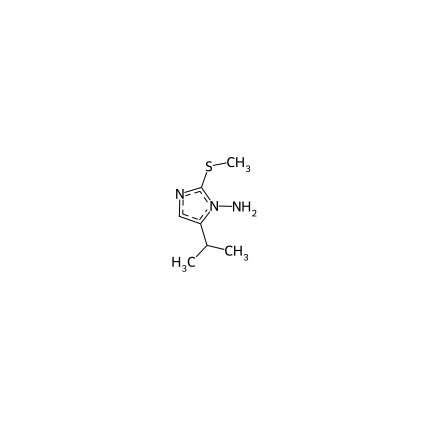 CSc1ncc(C(C)C)n1N